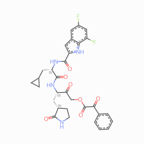 O=C(OCC(=O)[C@H](C[C@@H]1CCNC1=O)NC(=O)[C@H](CC1CC1)NC(=O)c1cc2cc(F)cc(F)c2[nH]1)C(=O)c1ccccc1